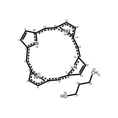 C1=Cc2cc3ccc(cc4nc(cc5ccc(cc1n2)[nH]5)C=C4)[nH]3.CCCCO